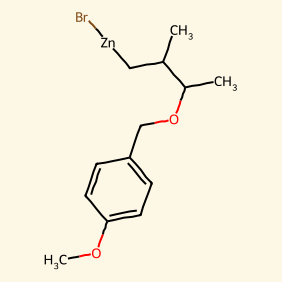 COc1ccc(COC(C)C(C)[CH2][Zn][Br])cc1